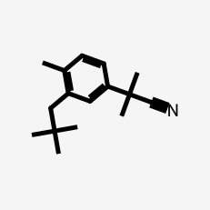 Cc1ccc(C(C)(C)C#N)cc1CC(C)(C)C